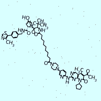 CC(=O)c1c(C)c2cnc(Nc3ccc(N4CCN(C(=O)CCCCCCCCCC(=O)NC(C(=O)N5C[C@H](O)C[C@H]5C(=O)NCc5ccc(-c6scnc6C)cc5)C(C)(C)C)CC4)cn3)nc2n(C2CCCC2)c1=O